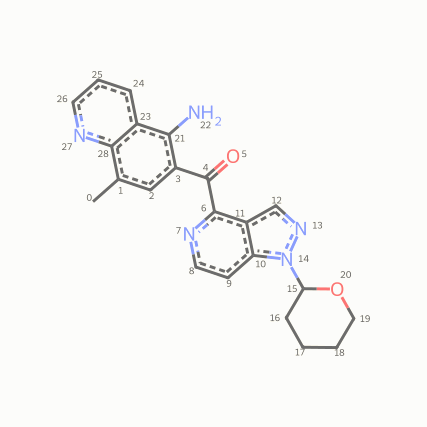 Cc1cc(C(=O)c2nccc3c2cnn3C2CCCCO2)c(N)c2cccnc12